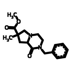 COC(=O)C1(C)CC2C(=O)N(Cc3ccccc3)CCN2C1